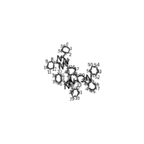 c1ccc(-c2nc(-c3ccccc3)nc(-c3ccc4c5cc6c(cc5n5c(-c7ccccc7)nc(-c7ccccc7)c5c4c3)c3ccccc3n6-c3ccccc3)n2)cc1